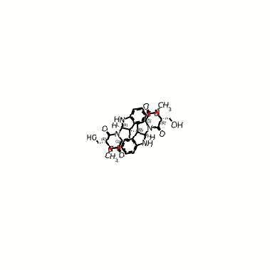 CN1C(=O)[C@@]23CC4([C@]56C[C@@]78SS[C@](CO)(C(=O)N7[C@H]5Nc5ccccc56)N(C)C8=O)c5ccccc5N[C@@H]4N2C(=O)[C@@]1(CO)SS3